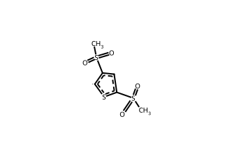 CS(=O)(=O)c1[c]sc(S(C)(=O)=O)c1